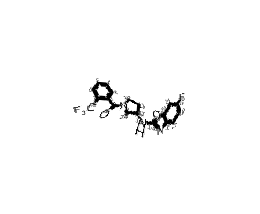 O=C(c1ccccc1C(F)(F)F)N1CC[C@@H](Nc2nc3ccc(F)cc3o2)C1